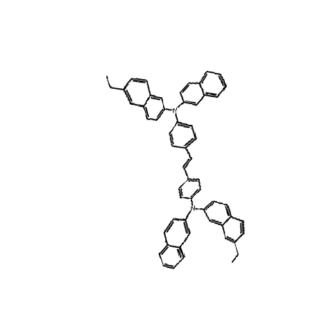 CCc1ccc2cc(N(c3ccc(/C=C/c4ccc(N(c5ccc6ccccc6c5)c5ccc6ccc(CC)cc6c5)cc4)cc3)c3ccc4ccccc4c3)ccc2c1